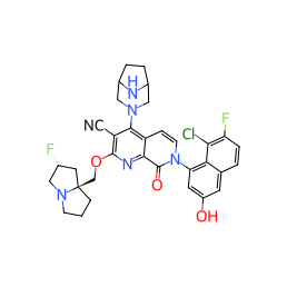 N#Cc1c(OC[C@@]23CCCN2C[C@H](F)C3)nc2c(=O)n(-c3cc(O)cc4ccc(F)c(Cl)c34)ccc2c1N1CC2CCC(C1)N2